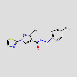 Cc1ccc(NNC(=O)c2cn(-c3nccs3)nc2C(C)C)cc1